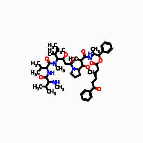 CCC(C)C(C(CC(=O)N1CCCC1C(OC)C(C)C(=O)NC(C)C(OC(=O)CCCCC(=O)c1ccccc1)c1ccccc1)OC)N(C)C(=O)[C@@H](NC(=O)C(NC)C(C)C)C(C)C